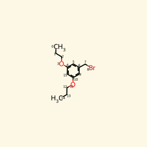 CCCOc1cc(CBr)cc(OCCC)c1